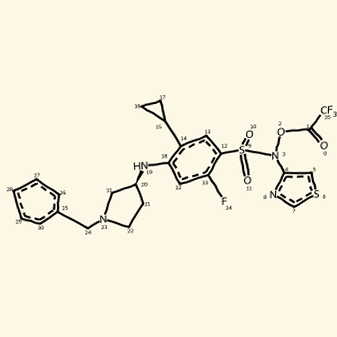 O=C(ON(c1cscn1)S(=O)(=O)c1cc(C2CC2)c(N[C@H]2CCN(Cc3ccccc3)C2)cc1F)C(F)(F)F